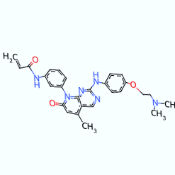 C=CC(=O)Nc1cccc(-n2c(=O)cc(C)c3cnc(Nc4ccc(OCCN(C)C)cc4)nc32)c1